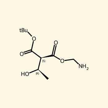 C[C@@H](O)[C@H](C(=O)OCN)C(=O)OC(C)(C)C